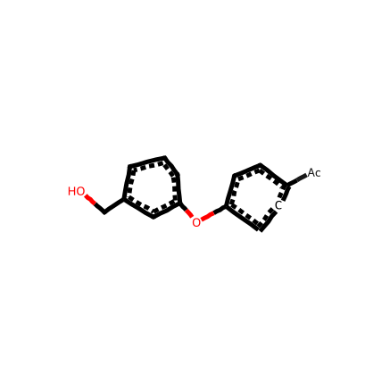 CC(=O)c1ccc(Oc2cccc(CO)c2)cc1